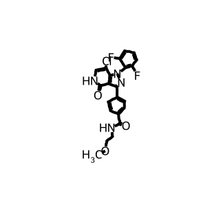 COCCNC(=O)c1ccc(-c2nn(-c3c(F)cccc3F)c3c(Cl)c[nH]c(=O)c23)cc1